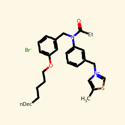 CCCCCCCCCCCCCCOc1cccc(CN(C(=O)CC)c2cccc(C[n+]3csc(C)c3)c2)c1.[Br-]